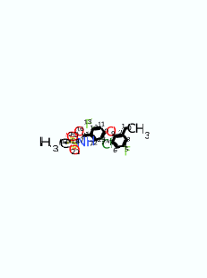 CCc1cc(F)ccc1Oc1cc(F)c(C(=O)NS(C)(=O)=O)cc1Cl